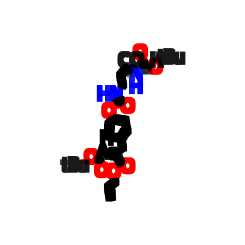 C=CCOC(=O)[C@H](Cc1ccc(OC(=O)NCC[C@H](NC(=O)OC(C)(C)C)C(=O)O)cc1)[AsH]C(=O)OC(C)(C)C